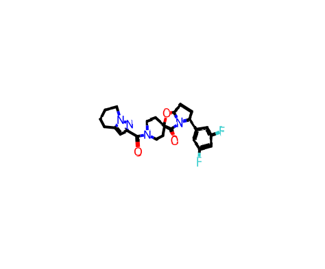 O=C(c1cc2n(n1)CCCC2)N1CCC2(CC1)OC1CCC(c3cc(F)cc(F)c3)N1C2=O